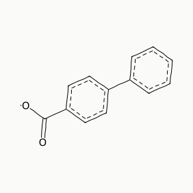 [O]C(=O)c1ccc(-c2ccccc2)cc1